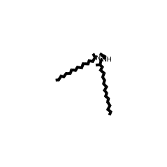 CCCCCCCCCCCCCCCCC(C)c1[nH]cc[n+]1C(C)CCCCCCCCCCCCCC